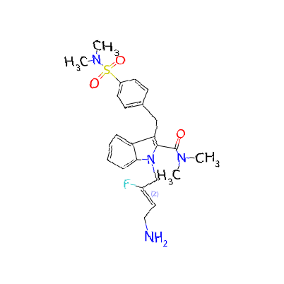 CN(C)C(=O)c1c(Cc2ccc(S(=O)(=O)N(C)C)cc2)c2ccccc2n1C/C(F)=C/CN